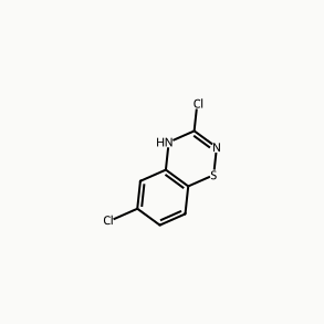 ClC1=NSc2ccc(Cl)cc2N1